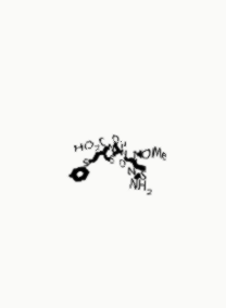 CON=C(C(=O)NC1C(=O)N2C(C(=O)O)=C(C=CSc3ccccc3)CSC12)c1csc(N)n1